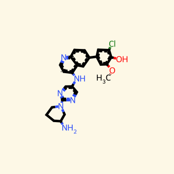 COc1cc(-c2ccc3nc[c]c(Nc4cnc(N5CCCC(N)C5)nc4)c3c2)cc(Cl)c1O